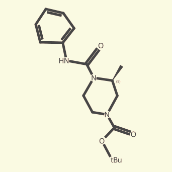 C[C@H]1CN(C(=O)OC(C)(C)C)CCN1C(=O)Nc1ccccc1